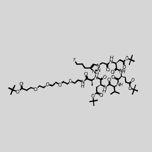 CC(C)[C@H](NC(=O)[C@H](CCC(=O)OC(C)(C)C)NC(=O)[C@H](CC(=O)OC(C)(C)C)NC(=O)Cn1cc(CCCF)nn1)C(=O)N[C@@H](CC(=O)OC(C)(C)C)C(=O)N[C@@H](C)C(=O)NCCOCCOCCOCCOCCC(=O)OC(C)(C)C